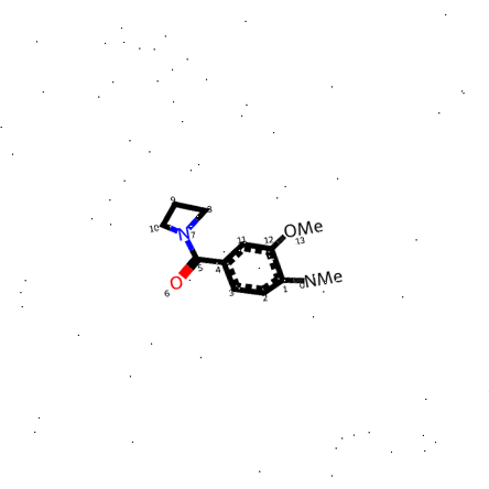 CNc1ccc(C(=O)N2CCC2)cc1OC